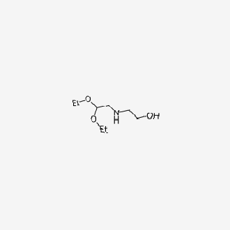 CCOC(CNCCO)OCC